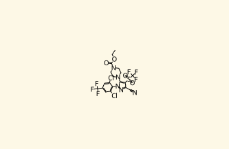 CCOC(=O)N1CCN(c2c(S(=O)(=O)C(F)(F)F)c(C#N)nn2-c2c(Cl)cc(C(F)(F)F)cc2Cl)CC1